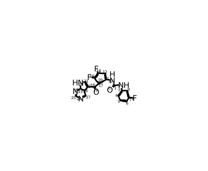 O=C(Nc1cccc(F)c1)Nc1cc(F)c(F)c(C(=O)C2=CNC3N=CN=CC23)c1